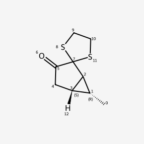 C[C@H]1C2[C@H]1CC(=O)C21SCCS1